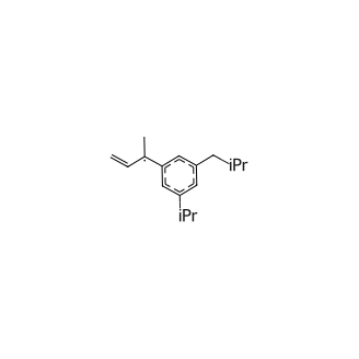 C=C[C](C)c1cc(CC(C)C)cc(C(C)C)c1